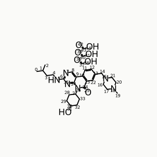 CC(C)CCNc1ncc2c3ccc(CN4CCN(C)CC4)cc3c(=O)n([C@H]3CC[C@H](O)CC3)c2n1.O=CO.O=CO.O=CO